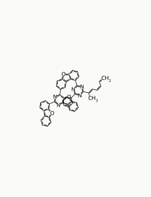 C=C/C=C\C=C(/C)c1nc(-c2ccccc2)nc(-c2cccc3oc4ccc(-c5nc(-c6cccc7c6oc6ccccc67)nc6c5oc5ccccc56)cc4c23)n1